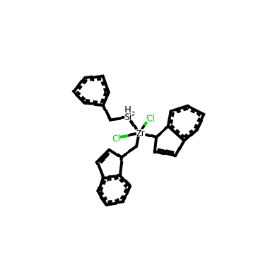 [Cl][Zr]([Cl])([CH2]C1C=Cc2ccccc21)([SiH2]Cc1ccccc1)[CH]1C=Cc2ccccc21